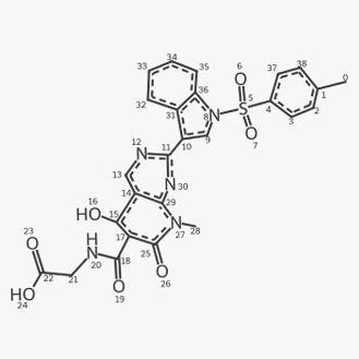 Cc1ccc(S(=O)(=O)n2cc(-c3ncc4c(O)c(C(=O)NCC(=O)O)c(=O)n(C)c4n3)c3ccccc32)cc1